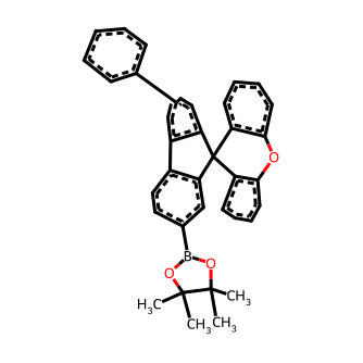 CC1(C)OB(c2ccc3c(c2)C2(c4ccccc4Oc4ccccc42)c2ccc(-c4ccccc4)cc2-3)OC1(C)C